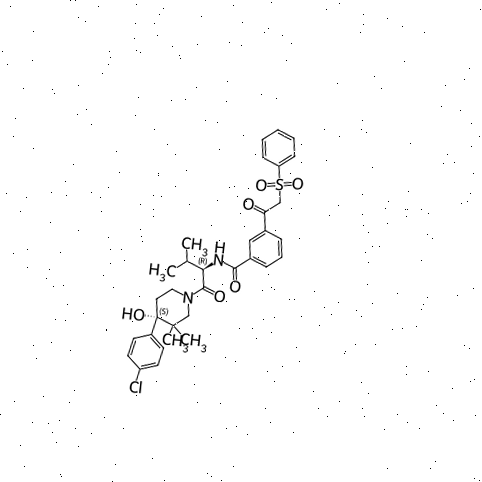 CC(C)[C@@H](NC(=O)c1cccc(C(=O)CS(=O)(=O)c2ccccc2)c1)C(=O)N1CC[C@](O)(c2ccc(Cl)cc2)C(C)(C)C1